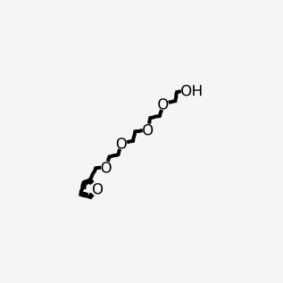 OCCOCCOCCOCCOCc1ccco1